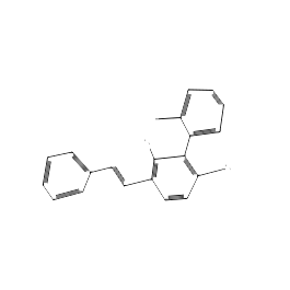 Nc1ccc(C=Cc2ccccc2)c(N)c1-c1ccccc1O